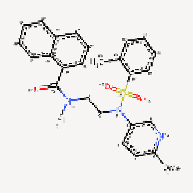 CCN(CCN(c1ccc(OC)nc1)S(=O)(=O)c1ccccc1C)C(=O)c1cccc2ccccc12